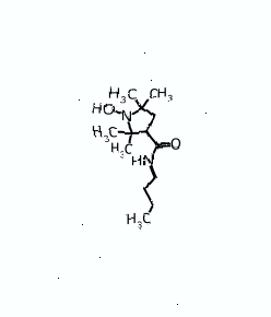 CCCCNC(=O)C1CC(C)(C)N(O)C1(C)C